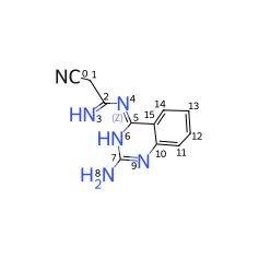 N#CCC(=N)/N=c1\[nH]c(N)nc2ccccc12